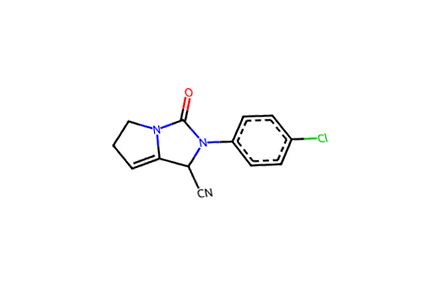 N#CC1C2=CCCN2C(=O)N1c1ccc(Cl)cc1